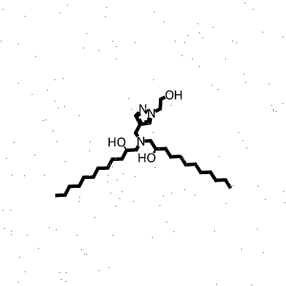 CCCCCCCCCC[C@@H](O)CN(Cc1cnn(CCO)c1)C[C@@H](O)CCCCCCCCCC